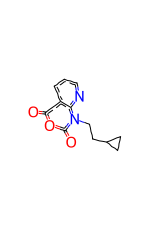 O=c1oc(=O)n(CCC2CC2)c2ncccc12